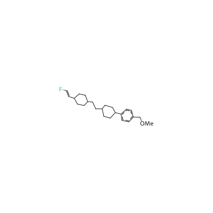 COCc1ccc(C2CCC(CCC3CCC(C=CF)CC3)CC2)cc1